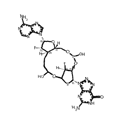 Nc1nc2c(nnn2[C@@H]2SC3OC(O)CC[C@H]4[C@H](F)[C@H](n5cnc6c(N)ncnc65)O[C@@H]4COP(O)O[C@@H]2[C@@H]3F)c(=O)[nH]1